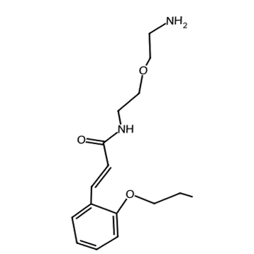 CCCOc1ccccc1/C=C/C(=O)NCCOCCN